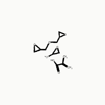 C(OCC1CO1)C1CO1.C=C(C)C(=O)O.CC1CO1